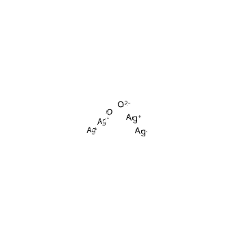 [Ag+].[Ag+].[Ag].[Ag].[O-2].[O]